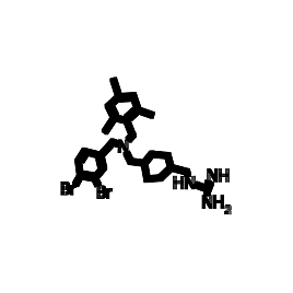 Cc1cc(C)c(CN(Cc2ccc(Br)c(Br)c2)CC2CCC(CNC(=N)N)CC2)c(C)c1